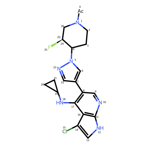 CC(=O)N1CCC(n2cc(-c3cnc4[nH]cc(Cl)c4c3NC3CC3)cn2)[C@@H](F)C1